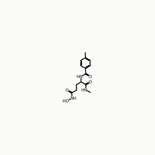 CNC(=O)C(CCC(=O)NO)NC(=O)c1ccc(C)cc1